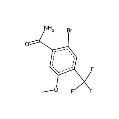 COc1cc(C(N)=O)c(Br)cc1C(F)(F)F